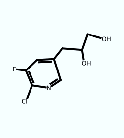 OCC(O)Cc1cnc(Cl)c(F)c1